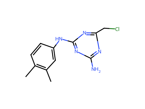 Cc1ccc(Nc2nc(N)nc(CCl)n2)cc1C